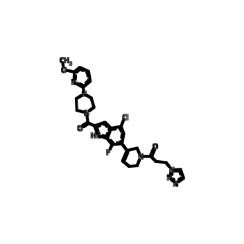 COc1cccc(N2CCN(C(=O)c3cc4c(Cl)cc(C5=CCCN(C(=O)CCn6ccnn6)C5)c(F)c4[nH]3)CC2)n1